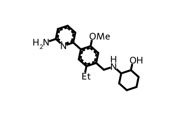 CCc1cc(-c2cccc(N)n2)c(OC)cc1CNC1CCCCC1O